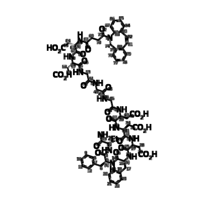 CC[C@H](NC(=O)[C@H](Cc1ccccc1)NC(=O)[C@H](Cc1ccccc1)NC(=O)[C@H](CC(=O)O)NC(=O)[C@H](CC(=O)O)NC(=O)[C@H](CC(=O)O)NC(=O)CNC(=O)CNC(=O)CNC(=O)[C@H](CC(=O)O)NC(=O)[C@H](CC(=O)O)NC(=O)CCC(=O)N1Cc2ccccc2C#Cc2ccccc21)C(N)=O